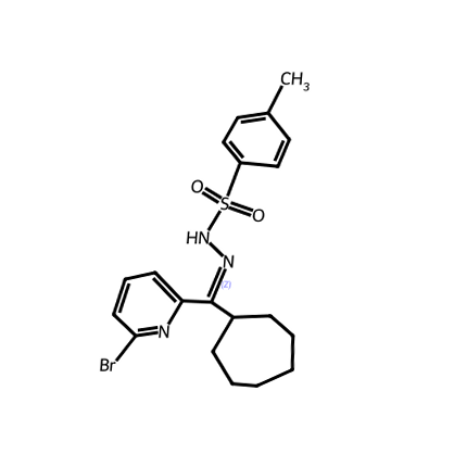 Cc1ccc(S(=O)(=O)N/N=C(\c2cccc(Br)n2)C2CCCCCC2)cc1